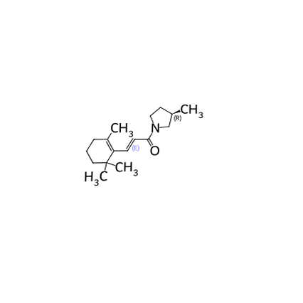 CC1=C(/C=C/C(=O)N2CC[C@@H](C)C2)C(C)(C)CCC1